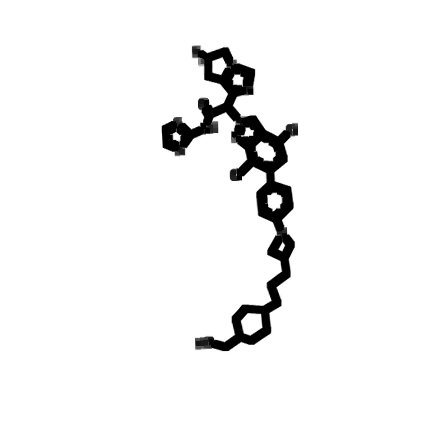 O=C(Nc1nccs1)C(c1ncn2c1C[C@@H](F)C2)n1cc2c(Cl)cc(-c3ccc(N4CC(CCCC5CCC(CO)CC5)C4)cc3)c(Cl)c2n1